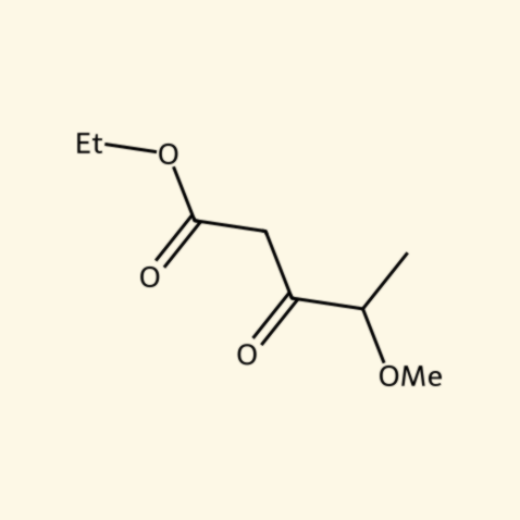 CCOC(=O)CC(=O)C(C)OC